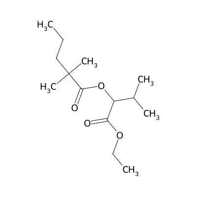 CCCC(C)(C)C(=O)OC(C(=O)OCC)C(C)C